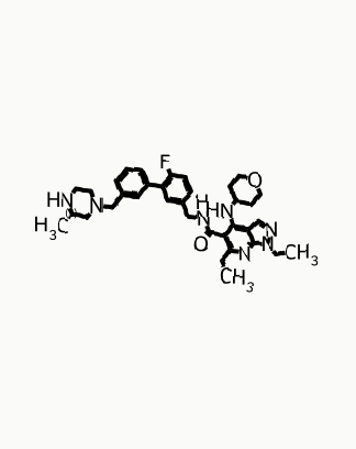 CCc1nc2c(cnn2CC)c(NC2CCOCC2)c1C(=O)NCc1ccc(F)c(-c2cccc(CN3CCN[C@@H](C)C3)c2)c1